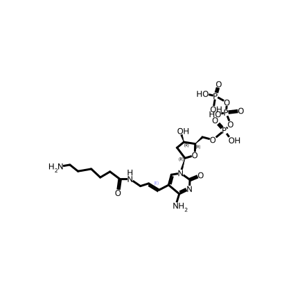 NCCCCCC(=O)NC/C=C/c1cn([C@H]2C[C@@H](O)[C@@H](COP(=O)(O)OP(=O)(O)OP(=O)(O)O)O2)c(=O)nc1N